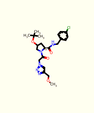 COCc1cn(CC(=O)N2CC(OC(C)(C)C)C[C@H]2C(=O)NCc2ccc(Cl)cc2)nn1